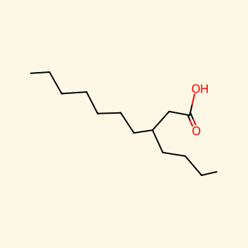 CCCCCCCC(CCCC)CC(=O)O